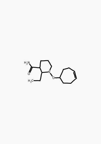 CCC1C(C(N)=O)CCCN1OC1CCC=CCC1